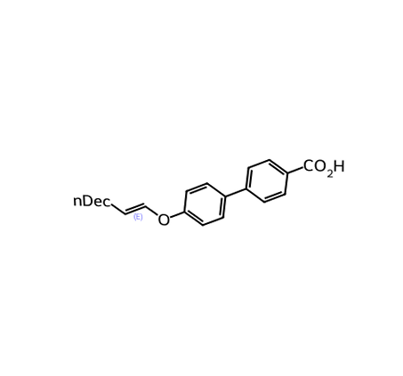 CCCCCCCCCC/C=C/Oc1ccc(-c2ccc(C(=O)O)cc2)cc1